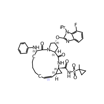 CC(C)n1c(O[C@@H]2C[C@H]3C(=O)N[C@]4(C(=O)NS(=O)(=O)C5(C)CC5)C[C@H]4/C=C\CCCCC[C@H](Nc4ccccc4)C(=O)N3C2)nc2cccc(F)c21